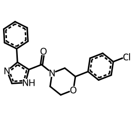 O=C(c1[nH]cnc1-c1ccccc1)N1CCOC(c2ccc(Cl)cc2)C1